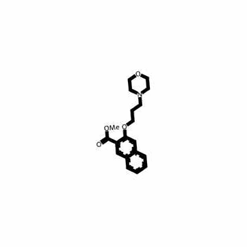 COC(=O)c1cc2ccccc2cc1OCCCN1CCOCC1